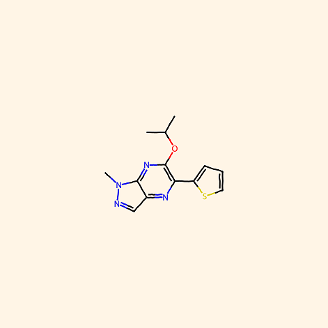 CC(C)Oc1nc2c(cnn2C)nc1-c1cccs1